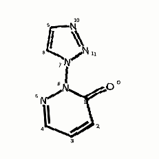 O=c1cccnn1-n1ccnn1